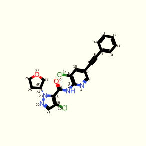 O=C(Nc1ncc(C#Cc2ccccc2)cc1Cl)c1c(Cl)cnn1[C@@H]1CCOC1